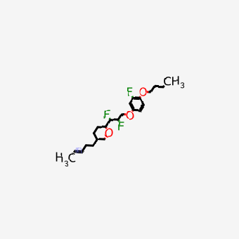 C/C=C/CCC1CCC(C(F)C(F)COc2ccc(OCCCC)c(F)c2)OC1